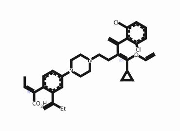 C=CO/C(=C(/CCN1CCN(c2ccc(/C(=C\C)C(=O)O)c(C(=C)CC)c2)CC1)C(=C)c1c(Cl)cccc1Cl)C1CC1